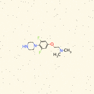 CN(C)CCOc1cc(F)c(N2CCNCC2)c(F)c1